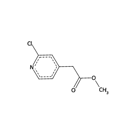 COC(=O)Cc1ccnc(Cl)c1